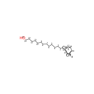 C.CCCCCCCCCCCCCCO.c1ccccc1